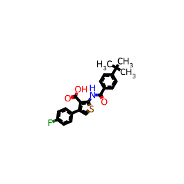 CC(C)(C)c1ccc(C(=O)Nc2scc(-c3ccc(F)cc3)c2C(=O)O)cc1